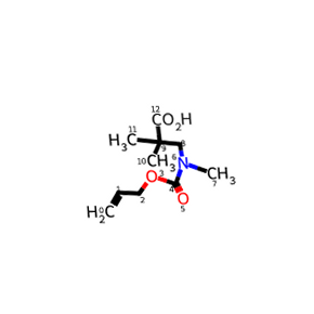 C=CCOC(=O)N(C)CC(C)(C)C(=O)O